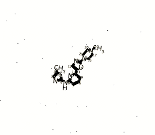 Cc1cnc(Nc2cccc(-c3cnc(N4CCN(C)CC4)o3)n2)s1